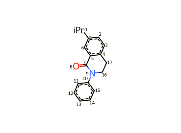 CC(C)c1ccc2c(c1)C(=O)N(c1ccccc1)CC2